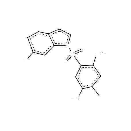 COc1cc(F)c(N)cc1S(=O)(=O)n1ccc2ccc(F)cc21